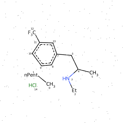 CCCCCC.CCNC(C)Cc1cccc(C(F)(F)F)c1.Cl